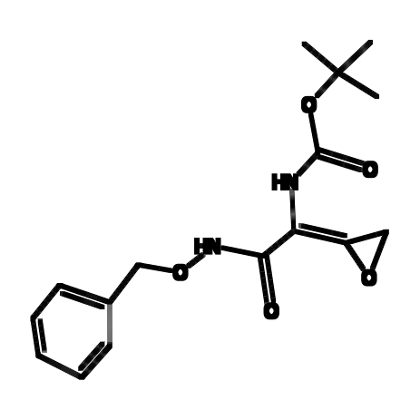 CC(C)(C)OC(=O)NC(C(=O)NOCc1ccccc1)=C1CO1